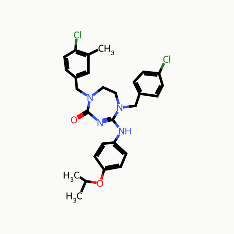 Cc1cc(CN2CCN(Cc3ccc(Cl)cc3)C(Nc3ccc(OC(C)C)cc3)=NC2=O)ccc1Cl